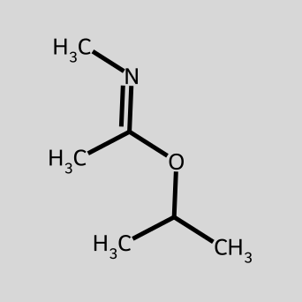 C/N=C(\C)OC(C)C